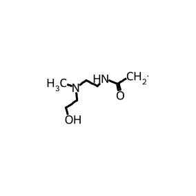 [CH2]C(=O)NCCN(C)CCO